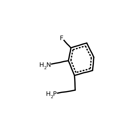 Nc1c(F)cccc1CP